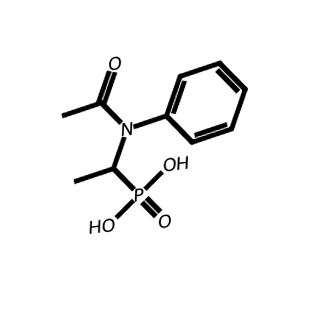 CC(=O)N(c1ccccc1)C(C)P(=O)(O)O